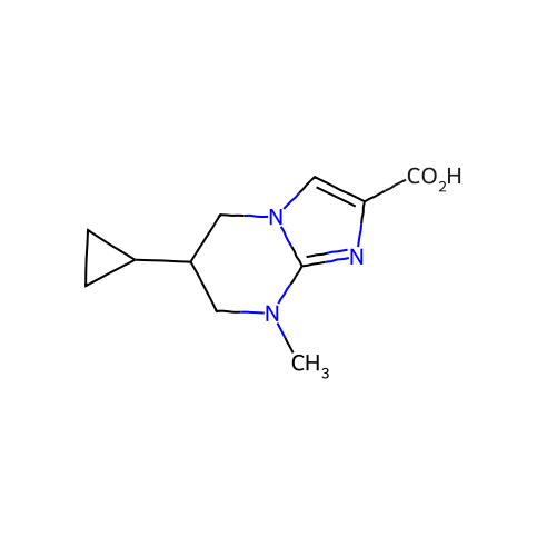 CN1CC(C2CC2)Cn2cc(C(=O)O)nc21